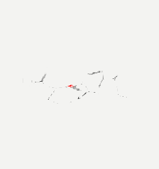 NC(=O)C1=NC2=C3C=CC(C(N)=O)(CC3)CN2C=C1